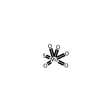 [O]=[Mo](=[O])(=[O])(=[O])(=[O])=[S]